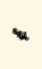 c1ccc(-c2nc(-c3ccccc3)nc(-c3cccc4c3oc3c4ccc4c3c3ccccc3n4-c3ccc4oc5ccccc5c4c3)n2)cc1